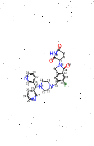 O=C1CCC(N2Cc3cc(CN4CCN(C(c5cccnc5)c5cccnc5)CC4)c(F)cc3C2=O)C(=O)N1